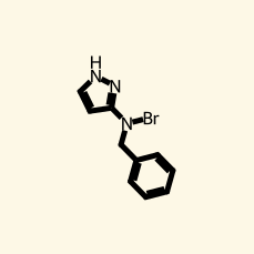 BrN(Cc1ccccc1)c1cc[nH]n1